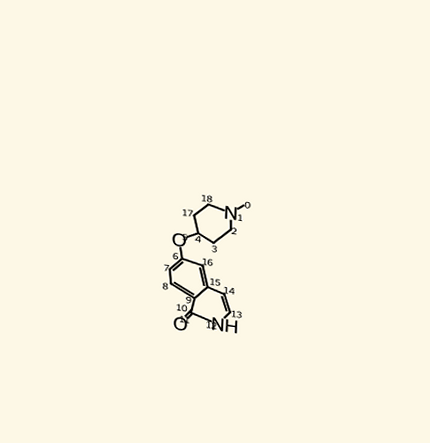 CN1CCC(Oc2ccc3c(=O)[nH]ccc3c2)CC1